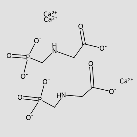 O=C([O-])CNCP(=O)([O-])[O-].O=C([O-])CNCP(=O)([O-])[O-].[Ca+2].[Ca+2].[Ca+2]